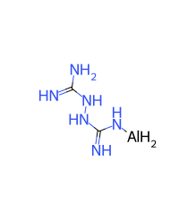 N=C(N)NNC(=N)[NH][AlH2]